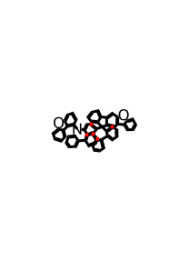 c1ccc(-c2ccccc2N(c2ccc3c(c2)-c2ccccc2-c2ccccc2C32c3ccccc3-c3cc4oc5ccccc5c4cc32)c2cccc3oc4ccccc4c23)cc1